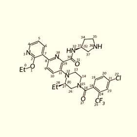 CCOc1ncccc1-c1ccc(N2CCN(C(=O)c3ccc(Cl)cc3C(F)(F)F)C[C@H]2CC)c(C(=O)N[C@H]2CCNC2)n1